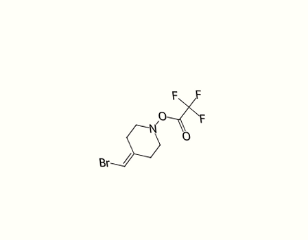 O=C(ON1CCC(=CBr)CC1)C(F)(F)F